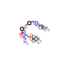 C=C(/C=C\C)N1CCN(Cc2ccc(COc3cccc4c3CN(C(CCC(=O)OC(C)(C)C)C(N)=O)C4=O)cc2)CC1